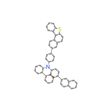 c1ccc(-c2ccccc2N(c2ccc(-c3ccc4ccccc4c3)cc2)c2ccc(-c3ccc4c(ccc5sc6ccccc6c54)c3)cc2)cc1